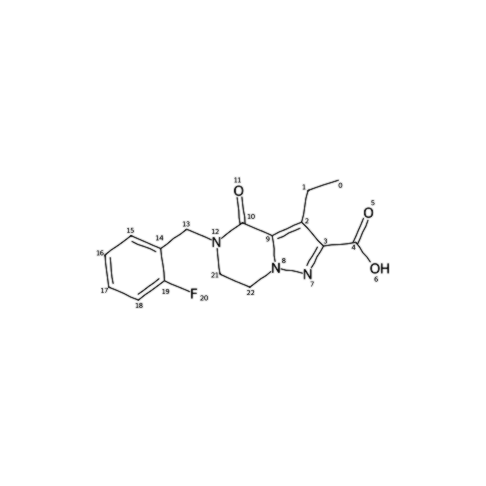 CCc1c(C(=O)O)nn2c1C(=O)N(Cc1ccccc1F)CC2